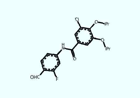 CC(C)Oc1cc(C(=O)Nc2ccc(C=O)c(F)c2)cc(Cl)c1OC(C)C